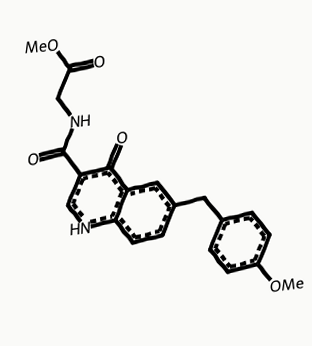 COC(=O)CNC(=O)c1c[nH]c2ccc(Cc3ccc(OC)cc3)cc2c1=O